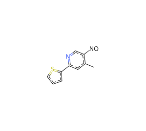 Cc1cc(-c2cccs2)ncc1N=O